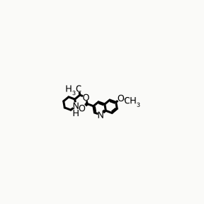 COc1ccc2ncc(C(=O)OC(C)C3CCCCN3)cc2c1